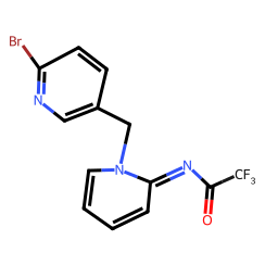 O=C(N=c1ccccn1Cc1ccc(Br)nc1)C(F)(F)F